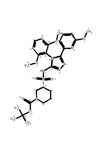 COc1cccc(-c2nnc(NS(=O)(=O)[C@@H]3CCCN(C(=O)OC(C)(C)C)C3)n2-c2c(OC)ncnc2OC)n1